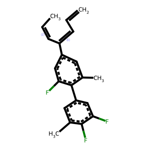 C=C/C=C(\C=C/C)c1cc(C)c(-c2cc(C)c(F)c(F)c2)c(F)c1